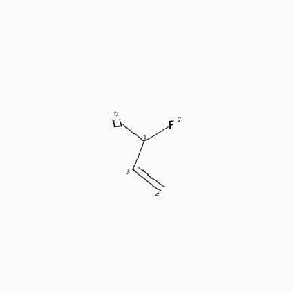 [Li][CH](F)C=C